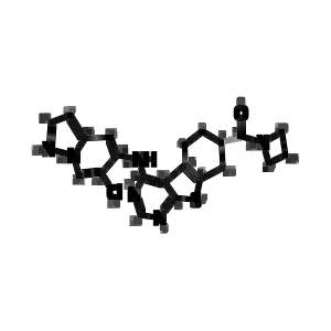 O=C([C@H]1CCc2c(sc3ncnc(Nc4cc5ccnn5cc4Cl)c23)C1)N1CCC1